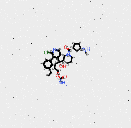 CCc1cccc(-c2c([C@](O)(CCCOC(N)=O)[C@@H]3CCCN(C(=O)[C@@H]4CC[C@H](NC)C4)C3)ccnc2Cl)c1